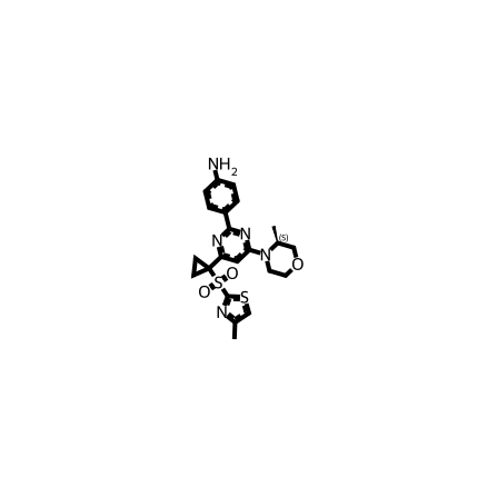 Cc1csc(S(=O)(=O)C2(c3cc(N4CCOC[C@@H]4C)nc(-c4ccc(N)cc4)n3)CC2)n1